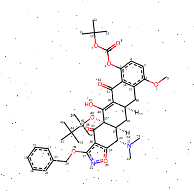 COc1ccc(OC(=O)OC(C)(C)C)c2c1C[C@H]1C[C@H]3[C@H](N(C)C)c4onc(OCc5ccccc5)c4C(=O)[C@@]3(O[Si](C)(C)C(C)(C)C)C(O)=C1C2=O